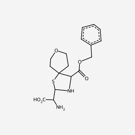 NC(C(=O)O)C1NC(C(=O)OCc2ccccc2)C2(CCOCC2)S1